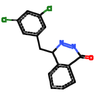 O=C1N=NC(Cc2cc(Cl)cc(Cl)c2)c2ccccc21